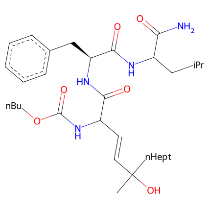 CCCCCCCC(C)(O)/C=C/C(NC(=O)OCCCC)C(=O)N[C@@H](Cc1ccccc1)C(=O)NC(CC(C)C)C(N)=O